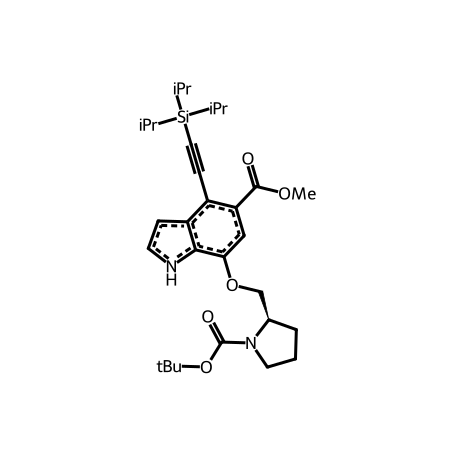 COC(=O)c1cc(OC[C@H]2CCCN2C(=O)OC(C)(C)C)c2[nH]ccc2c1C#C[Si](C(C)C)(C(C)C)C(C)C